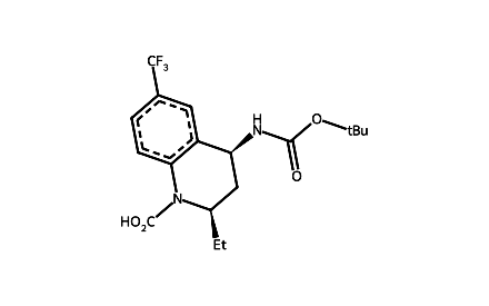 CC[C@@H]1C[C@H](NC(=O)OC(C)(C)C)c2cc(C(F)(F)F)ccc2N1C(=O)O